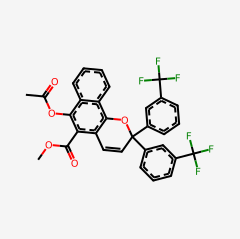 COC(=O)c1c2c(c3ccccc3c1OC(C)=O)OC(c1cccc(C(F)(F)F)c1)(c1cccc(C(F)(F)F)c1)C=C2